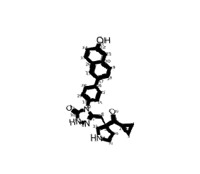 O=C(C1CC1)[C@]1(Cc2n[nH]c(=O)n2-c2ccc(-c3ccc4cc(O)ccc4c3)cc2)CCNC1